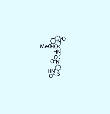 COc1ccc2ccc(=O)n(CC(O)CNCC3CN(c4ccc5c(c4)NC(=O)CS5)C(=O)O3)c2c1